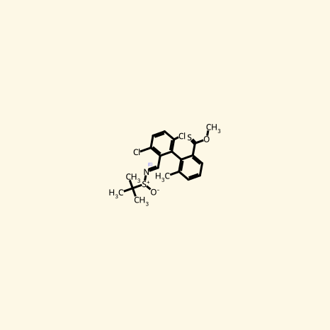 COC(=S)c1cccc(C)c1-c1c(Cl)ccc(Cl)c1/C=N/[S+]([O-])C(C)(C)C